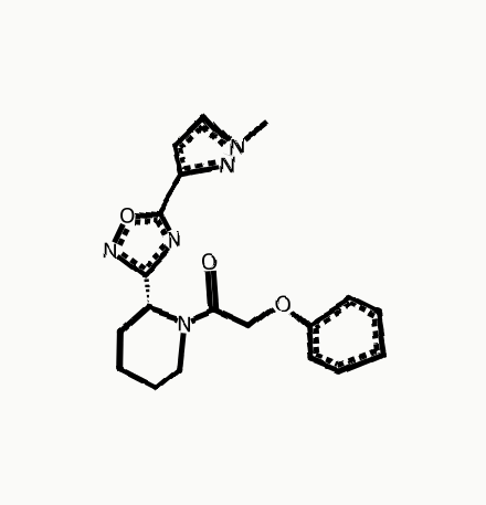 Cn1ccc(-c2nc([C@H]3CCCCN3C(=O)COc3ccccc3)no2)n1